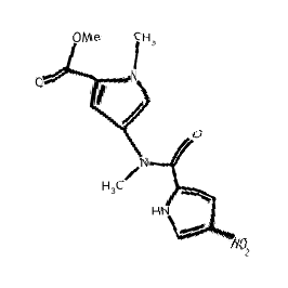 COC(=O)c1cc(N(C)C(=O)c2cc([N+](=O)[O-])c[nH]2)cn1C